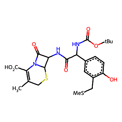 CSCc1cc(C(NC(=O)OC(C)(C)C)C(=O)NC2C(=O)N3C(C(=O)O)=C(C)CSC23)ccc1O